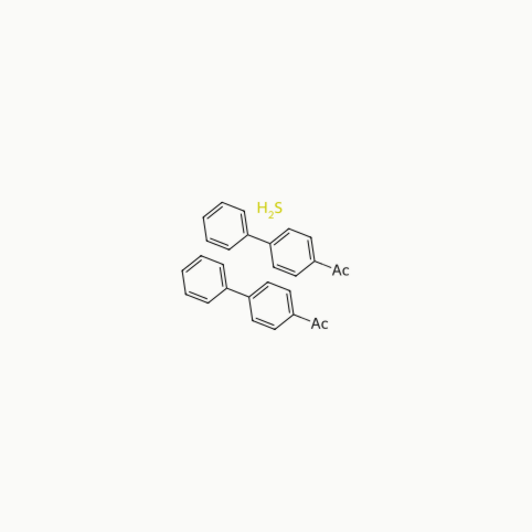 CC(=O)c1ccc(-c2ccccc2)cc1.CC(=O)c1ccc(-c2ccccc2)cc1.S